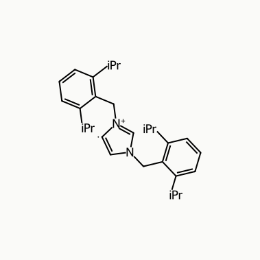 CC(C)c1cccc(C(C)C)c1Cn1c[c][n+](Cc2c(C(C)C)cccc2C(C)C)c1